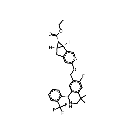 CCOC(=O)[C@H]1[C@@H]2Cc3cc(OCc4cc5c(cc4F)C(C)(C)CN[C@@H]5c4ccccc4C(F)(F)F)ncc3[C@@H]21